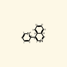 [c]1cccnc1-c1cncc2ccccc12